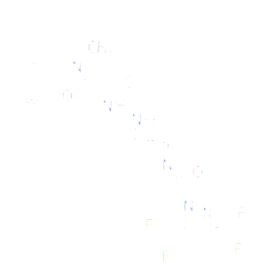 CN(C(=O)c1csc(N2CC3(CN(C(=O)Cn4nc(C(F)F)cc4C(F)F)C3)C2)n1)C1CCCc2ccccc21